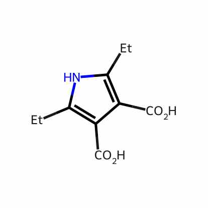 CCc1[nH]c(CC)c(C(=O)O)c1C(=O)O